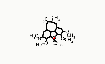 COC1CC2C[C@@H](C)[C@@H](C)CC3CC(OC)C(OC)C(OC)C3C2C(OC)C1OC